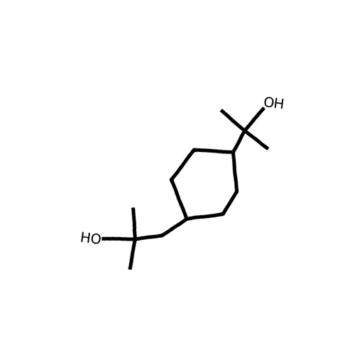 CC(C)(O)CC1CCC(C(C)(C)O)CC1